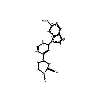 CCN1CCN(C2=CC(c3n[nH]c4ccc(OC)cc34)NC=N2)CC1=O